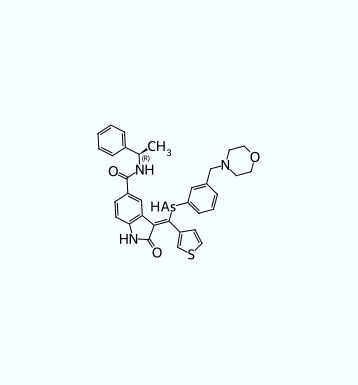 C[C@@H](NC(=O)c1ccc2c(c1)C(=C([AsH]c1cccc(CN3CCOCC3)c1)c1ccsc1)C(=O)N2)c1ccccc1